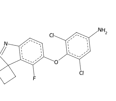 Nc1cc(Cl)c(Oc2ccc3c(c2F)C2(C=N3)CCC2)c(Cl)c1